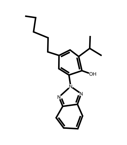 CCCCCc1cc(C(C)C)c(O)c(-n2nc3ccccc3n2)c1